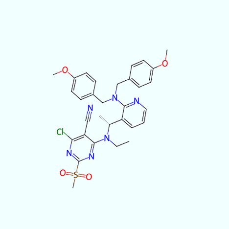 CCN(c1nc(S(C)(=O)=O)nc(Cl)c1C#N)[C@H](C)c1cccnc1N(Cc1ccc(OC)cc1)Cc1ccc(OC)cc1